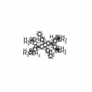 C[Si](C)(C)c1ccc2c(c1)c1cc([Si](C)(C)C)ccc1n2-c1ccc2c(-c3ccc(-c4ccccc4)cc3)c3cc(-n4c5ccc([Si](C)(C)C)cc5c5cc([Si](C)(C)C)ccc54)ccc3c(-c3ccc(-c4ccccc4)cc3)c2c1